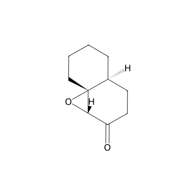 O=C1CC[C@@H]2CCCC[C@@]23O[C@@H]13